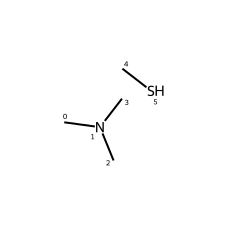 CN(C)C.CS